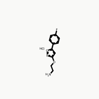 Cl.NCCOc1cc(-c2ccc(F)cc2)on1